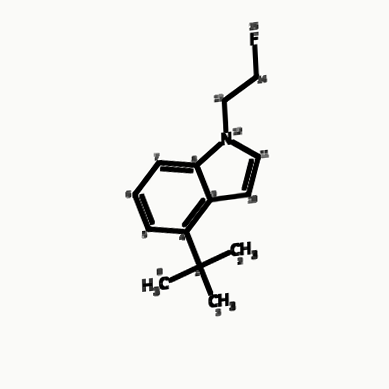 CC(C)(C)c1cccc2c1ccn2CCF